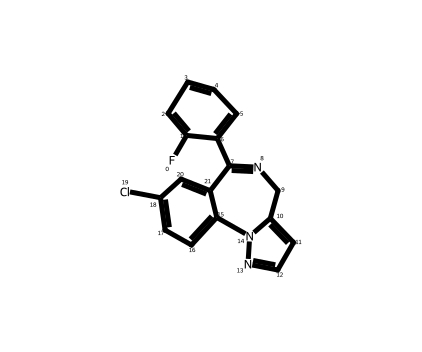 Fc1ccccc1C1=NCc2ccnn2-c2ccc(Cl)cc21